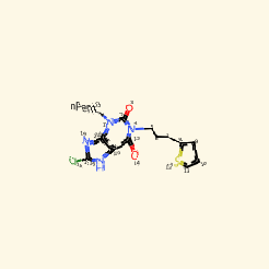 CCCCCn1c(=O)n(CCCc2cccs2)c(=O)c2[nH]c(Cl)nc21